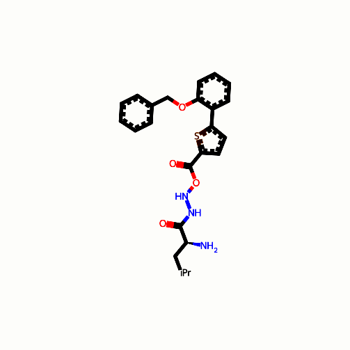 CC(C)C[C@H](N)C(=O)NNOC(=O)c1ccc(-c2ccccc2OCc2ccccc2)s1